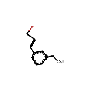 O=C(O)Cc1cccc(C=CCBr)c1